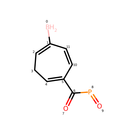 BC1=CCC=C(C(=O)P=O)C=C1